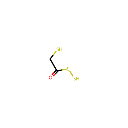 O=C(CS)SS